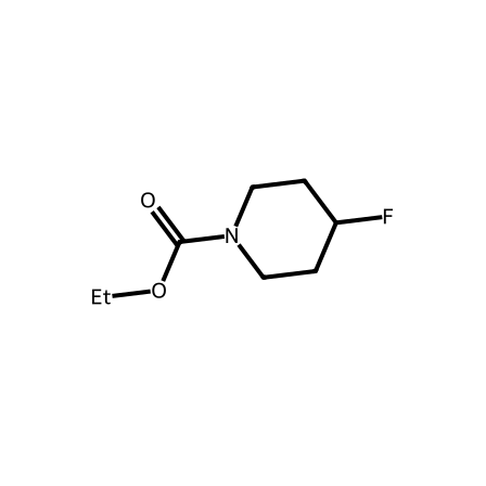 CCOC(=O)N1CCC(F)CC1